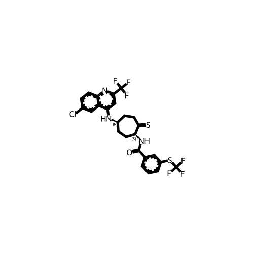 O=C(N[C@H]1CC[C@@H](Nc2cc(C(F)(F)F)nc3ccc(Cl)cc23)CCC1=S)c1cccc(SC(F)(F)F)c1